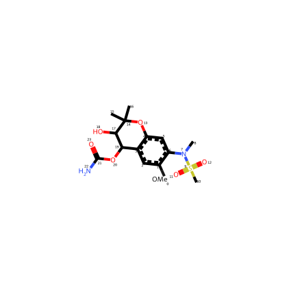 COc1cc2c(cc1N(C)S(C)(=O)=O)OC(C)(C)C(O)C2OC(N)=O